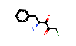 NC(Cc1ccccc1)C(=O)C(=O)CCl